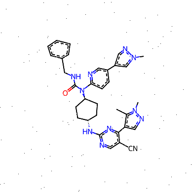 Cc1c(-c2nc(N[C@H]3CC[C@H](N(C(=O)NCc4ccccc4)c4ccc(-c5cnn(C)c5)cn4)CC3)ncc2C#N)cnn1C